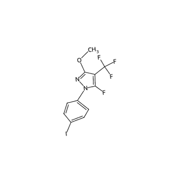 COc1nn(-c2ccc(I)cc2)c(F)c1C(F)(F)F